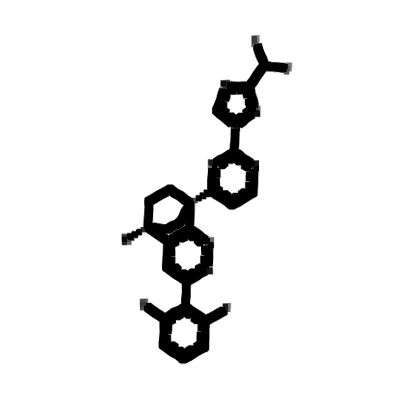 Fc1cccc(F)c1-c1cc2c(nn1)[C@]1(c3ccnc(-n4cnc(C(F)F)n4)n3)CC[C@H]2CC1